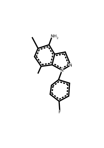 Cc1cc(C)c2c(cnn2-c2ccc(F)cc2)c1N